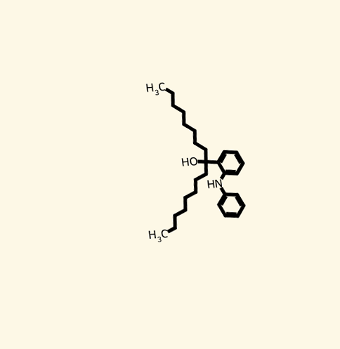 CCCCCCCCC(O)(CCCCCCCC)c1ccccc1Nc1ccccc1